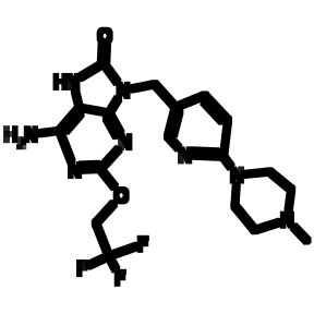 CN1CCN(c2ccc(Cn3c(=O)[nH]c4c(N)nc(OCC(F)(F)F)nc43)cn2)CC1